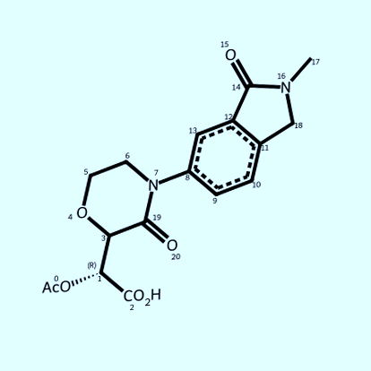 CC(=O)O[C@@H](C(=O)O)C1OCCN(c2ccc3c(c2)C(=O)N(C)C3)C1=O